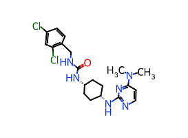 CN(C)c1ccnc(N[C@H]2CC[C@@H](NC(=O)NCc3ccc(Cl)cc3Cl)CC2)n1